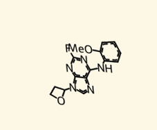 COc1ccccc1Nc1nc(F)nc2c1ncn2C1CCO1